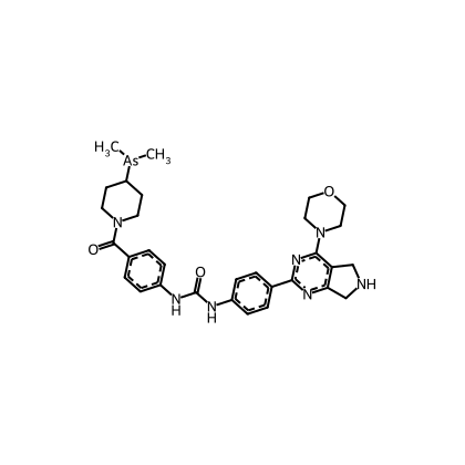 C[As](C)C1CCN(C(=O)c2ccc(NC(=O)Nc3ccc(-c4nc5c(c(N6CCOCC6)n4)CNC5)cc3)cc2)CC1